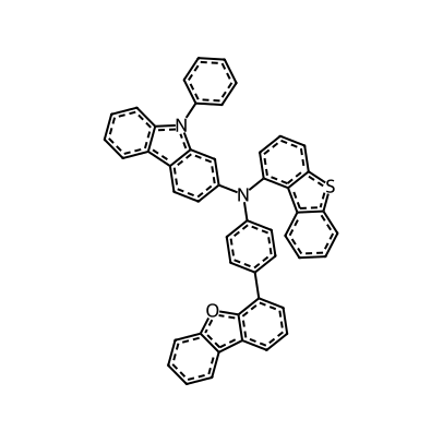 c1ccc(-n2c3ccccc3c3ccc(N(c4ccc(-c5cccc6c5oc5ccccc56)cc4)c4cccc5sc6ccccc6c45)cc32)cc1